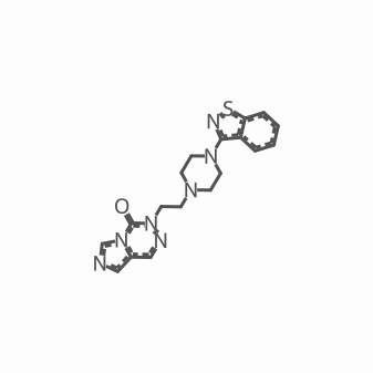 O=c1n(CCN2CCN(c3nsc4ccccc34)CC2)ncc2cncn12